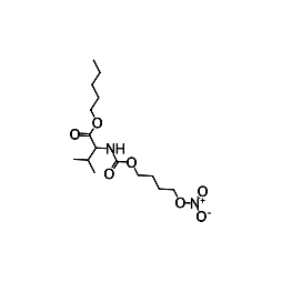 CCCCCOC(=O)C(NC(=O)OCCCCO[N+](=O)[O-])C(C)C